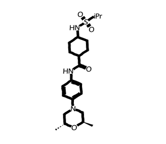 CC(C)S(=O)(=O)NC1CCC(C(=O)Nc2ccc(N3C[C@@H](C)O[C@H](C)C3)cc2)CC1